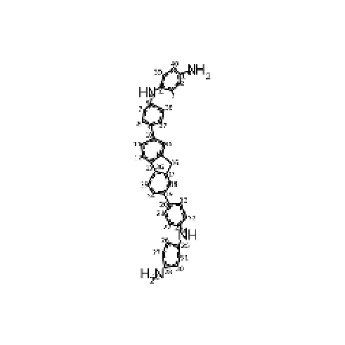 Nc1ccc(Nc2ccc(-c3ccc4c(c3)Cc3cc(-c5ccc(Nc6ccc(N)cc6)cc5)ccc3-4)cc2)cc1